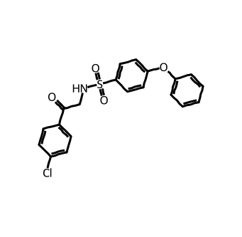 O=C(CNS(=O)(=O)c1ccc(Oc2ccccc2)cc1)c1ccc(Cl)cc1